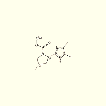 Cc1nc([C@@H]2C[C@H](C)CN2C(=O)OC(C)(C)C)[nH]c1I